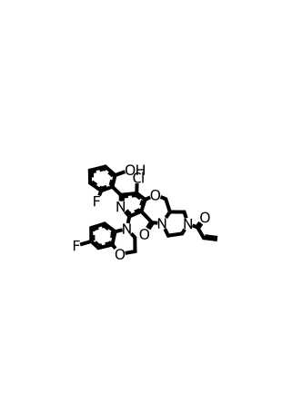 C=CC(=O)N1CCN2C(=O)c3c(N4CCOc5cc(F)ccc54)nc(-c4c(O)cccc4F)c(Cl)c3OCC2C1